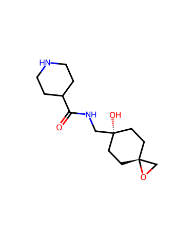 O=C(NC[C@]1(O)CC[C@@]2(CC1)CO2)C1CCNCC1